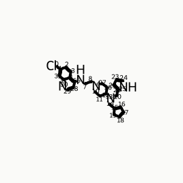 Clc1ccc2c(NCCN3CCC(N(CC4=CC=CC4)Cc4ccc[nH]4)CC3)ccnc2c1